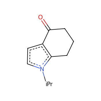 CC(C)n1ccc2c1CCCC2=O